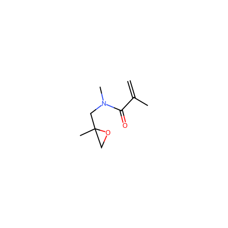 C=C(C)C(=O)N(C)CC1(C)CO1